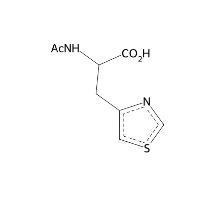 CC(=O)NC(Cc1cscn1)C(=O)O